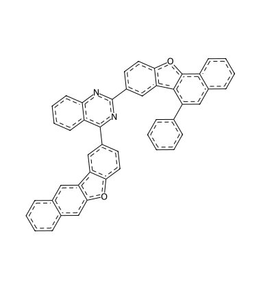 c1ccc(-c2cc3ccccc3c3oc4ccc(-c5nc(-c6ccc7oc8cc9ccccc9cc8c7c6)c6ccccc6n5)cc4c23)cc1